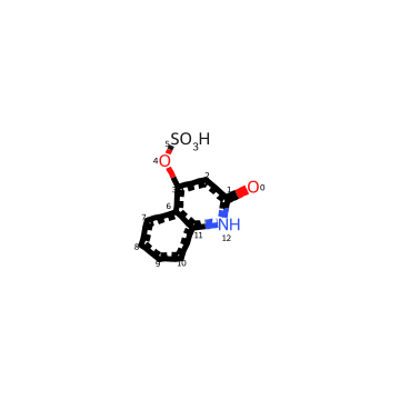 O=c1cc(OS(=O)(=O)O)c2ccccc2[nH]1